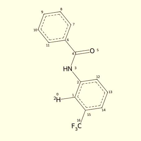 [2H]c1c(NC(=O)c2ccccc2)cccc1C(F)(F)F